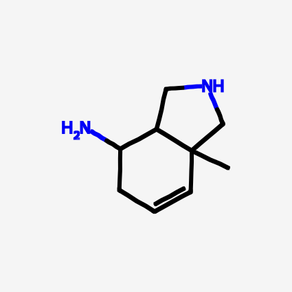 CC12C=CCC(N)C1CNC2